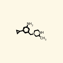 CC1CN(Cc2cc(N)cc(C3CC3)c2)CCN1